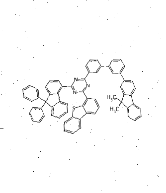 CC1(C)c2ccccc2-c2ccc(-c3cccc(-c4cccc(-c5nc(-c6cccc7c6-c6ccccc6C7(c6ccccc6)c6ccccc6)nc(-c6cccc7c6sc6ccccc67)n5)c4)c3)cc21